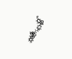 O=S(=O)(NCCCN1CCC(c2noc3cc(F)ccc23)CC1)c1cc2ccccc2o1